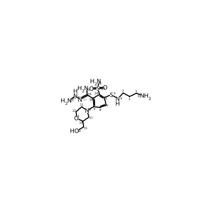 NCCCNSc1ccc(N2CCOC(CO)C2)c(/C(N)=N/NN)c1S(N)(=O)=O